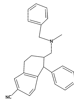 CN(Cc1ccccc1)CC1CCc2cc(C#N)ccc2C1c1ccccc1